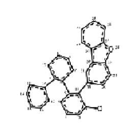 Clc1cccc(-c2ccccc2-c2ccccc2)c1-c1ccc2oc3ccccc3c2c1